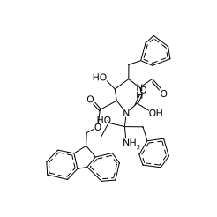 CC(O)C(N)(Cc1ccccc1)N(C(=O)O)C(C(=O)OCC1c2ccccc2-c2ccccc21)C(O)C(Cc1ccccc1)NC=O